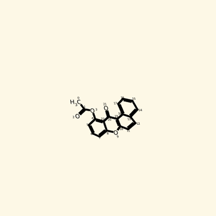 CC(=O)Oc1cccc2oc3ccc4ccccc4c3c(=O)c12